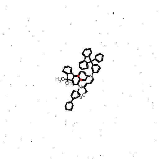 C=C/C(=C\C=C/N(c1ccccc1)c1cccc(C2(c3ccccc3)c3ccccc3-c3ccccc32)c1)N(c1ccc(-c2ccccc2)cc1)c1ccc2c(c1)C(C)(C)c1ccccc1-2